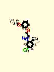 COc1cccc(OCCNc2cc(Cl)ccc2C)c1